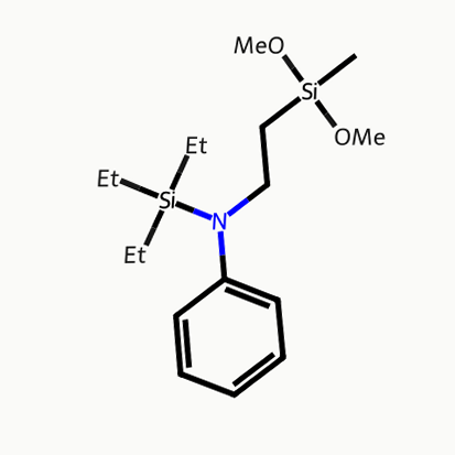 CC[Si](CC)(CC)N(CC[Si](C)(OC)OC)c1ccccc1